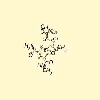 CNC(=O)c1cc(C(N)=O)cc2c1O[C@H](C)[C@H]2c1cccc(OC)c1